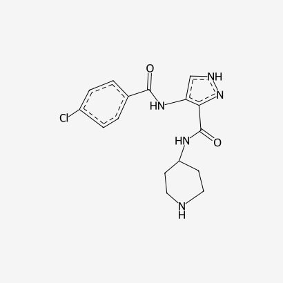 O=C(Nc1c[nH]nc1C(=O)NC1CCNCC1)c1ccc(Cl)cc1